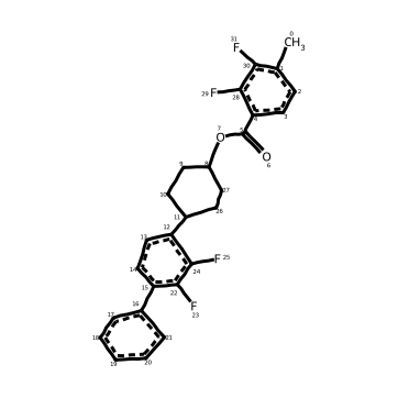 Cc1ccc(C(=O)OC2CCC(c3ccc(-c4ccccc4)c(F)c3F)CC2)c(F)c1F